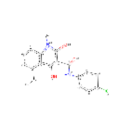 CCc1cccc2c1c(O)c(C(=O)Nc1ccc(Cl)cc1)c(=O)n2C